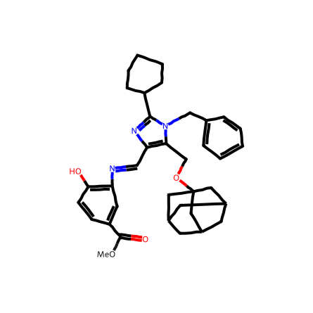 COC(=O)c1ccc(O)c(N=Cc2nc(C3CCCCC3)n(Cc3ccccc3)c2COC23CC4CC(CC(C4)C2)C3)c1